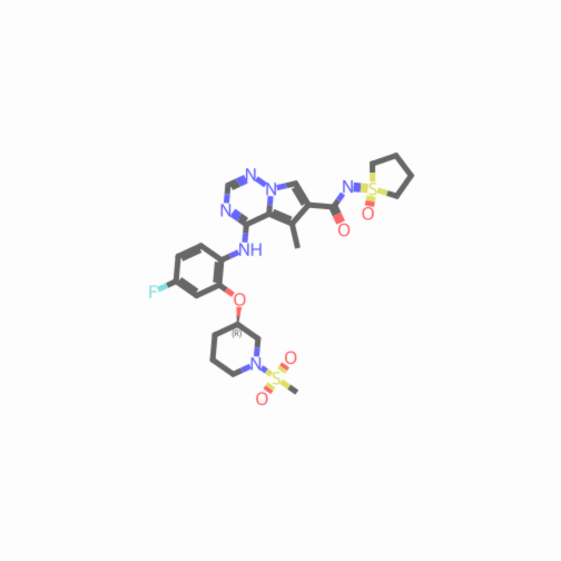 Cc1c(C(=O)N=S2(=O)CCCC2)cn2ncnc(Nc3ccc(F)cc3O[C@@H]3CCCN(S(C)(=O)=O)C3)c12